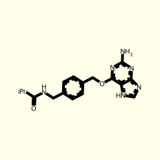 CC(C)C(=O)NCc1ccc(COc2nc(N)nc3nc[nH]c23)cc1